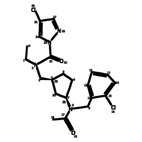 CCN(C[C@H]1CC[C@@H](N(Cc2ccccc2Cl)C(C)=O)C1)C(=O)n1cc(Cl)cn1